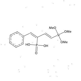 CO[Si](C=CC(=Cc1ccccc1)P(=O)(O)O)(OC)OC